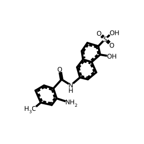 Cc1ccc(C(=O)Nc2ccc3c(O)c(S(=O)(=O)O)ccc3c2)c(N)c1